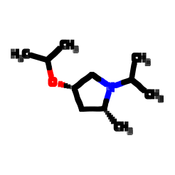 CC(C)O[C@H]1C[C@@H](C)N(C(C)C)C1